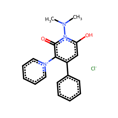 CN(C)n1c(O)cc(-c2ccccc2)c(-[n+]2ccccc2)c1=O.[Cl-]